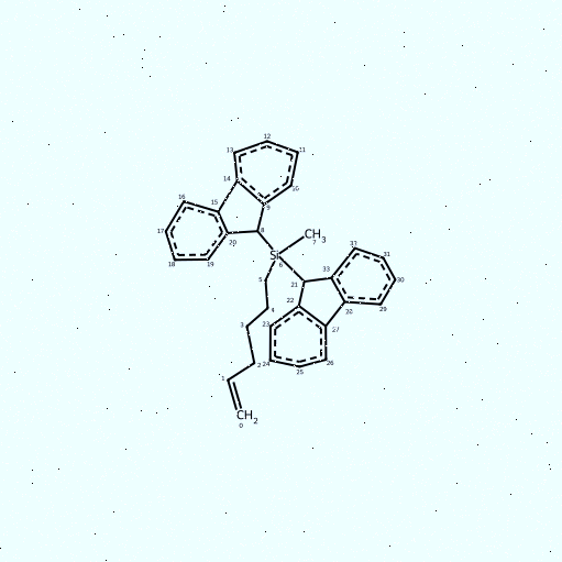 C=CCCCC[Si](C)(C1c2ccccc2-c2ccccc21)C1c2ccccc2-c2ccccc21